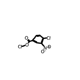 O=C(OCl)c1ccc(Cl)c([N+](=O)[O-])c1